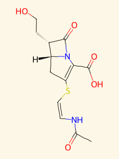 CC(=O)N/C=C\SC1=C(C(=O)O)N2C(=O)[C@@H](CCO)[C@H]2C1